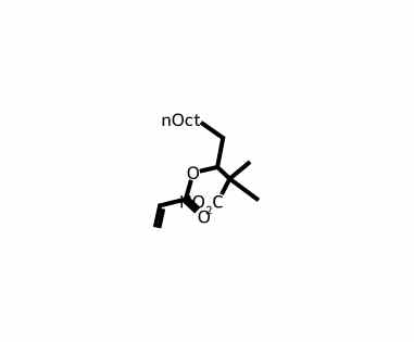 C=CC(=O)OC(CCCCCCCCC)C(C)(C)C(=O)O